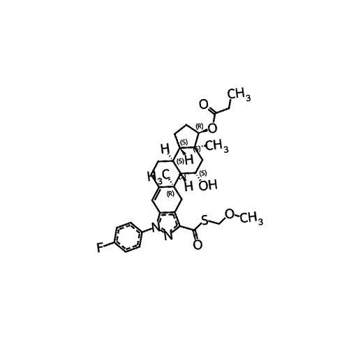 CCC(=O)O[C@@H]1CC[C@H]2[C@@H]3CCC4=Cc5c(c(C(=O)SCOC)nn5-c5ccc(F)cc5)C[C@]4(C)[C@H]3[C@@H](O)C[C@]12C